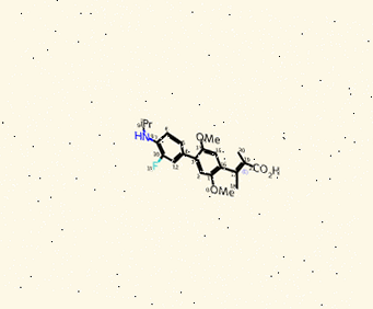 COc1cc(-c2ccc(NC(C)C)c(F)c2)c(OC)cc1/C(C)=C(\C)C(=O)O